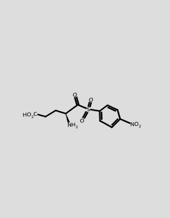 N[C@@H](CCC(=O)O)C(=O)S(=O)(=O)c1ccc([N+](=O)[O-])cc1